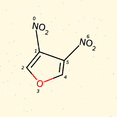 O=[N+]([O-])c1cocc1[N+](=O)[O-]